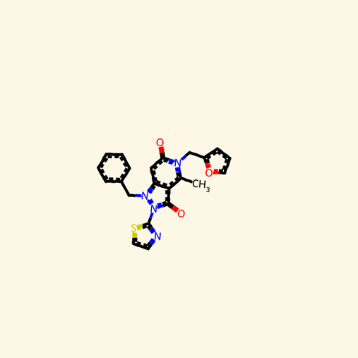 Cc1c2c(=O)n(-c3nccs3)n(Cc3ccccc3)c2cc(=O)n1Cc1ccco1